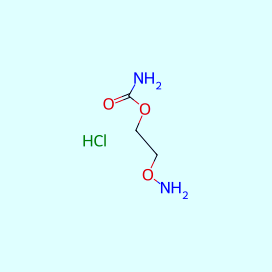 Cl.NOCCOC(N)=O